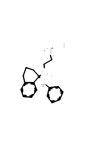 CNCCOC1(S(=O)(=O)c2ccccc2)CCCc2ccccc21